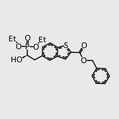 CCOP(=O)(OCC)[C@H](O)Cc1ccc2sc(C(=O)OCc3ccccc3)cc2c1